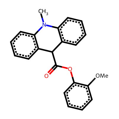 COc1ccccc1OC(=O)C1c2ccccc2N(C)c2ccccc21